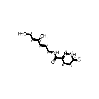 CC/C=C(\C)C=CCNC(=O)C1=NNC(=O)CC1